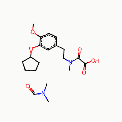 CN(C)C=O.COc1ccc(CCN(C)C(=O)C(=O)O)cc1OC1CCCC1